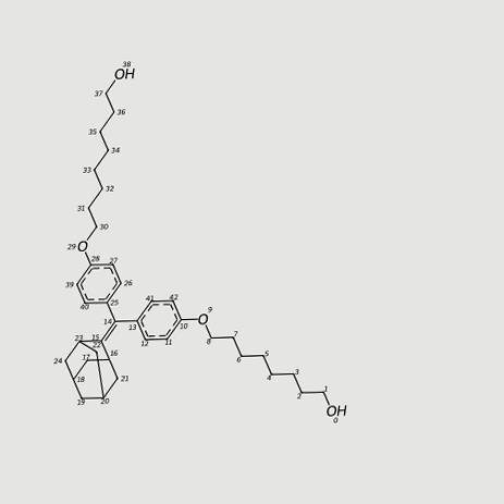 OCCCCCCCCOc1ccc(C(=C2C3CC4CC(C3)CC2C4)c2ccc(OCCCCCCCCO)cc2)cc1